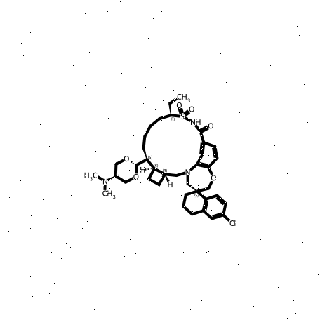 CC[C@@H]1CCCC[C@H]([C@H]2OC[C@H](N(C)C)CO2)[C@@H]2CC[C@H]2CN2C[C@@]3(CCCc4cc(Cl)ccc43)COc3ccc(cc32)C(=O)NS1(=O)=O